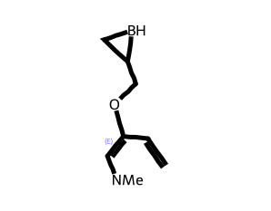 C=C/C(=C\NC)OCC1BC1